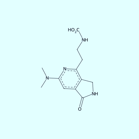 CN(C)c1cc2c(c(CCNC(=O)O)n1)CNC2=O